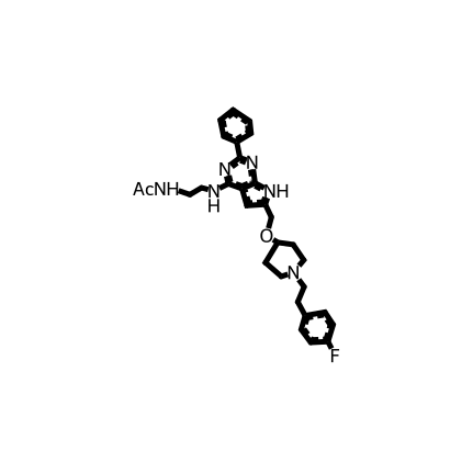 CC(=O)NCCNc1nc(-c2ccccc2)nc2[nH]c(COC3CCN(CCc4ccc(F)cc4)CC3)cc12